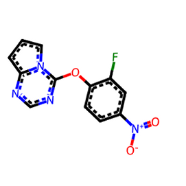 O=[N+]([O-])c1ccc(Oc2ncnc3cccn23)c(F)c1